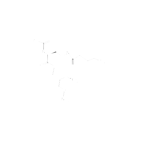 CC(=O)C(=O)N[C@@H](CSNC(=O)CCCC(=O)O)C(=O)OC[C@@H](CO[N+](=O)[O-])O[N+](=O)[O-]